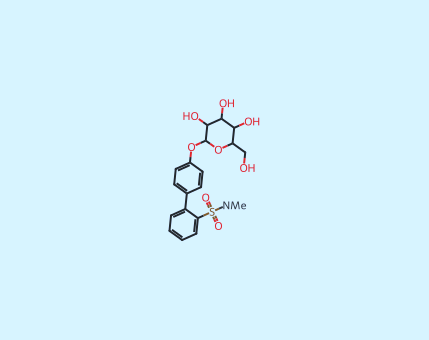 CNS(=O)(=O)c1ccccc1-c1ccc(OC2OC(CO)C(O)C(O)C2O)cc1